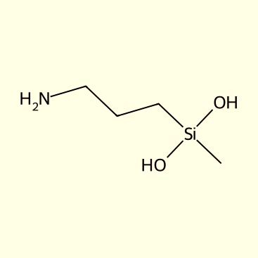 C[Si](O)(O)CCCN